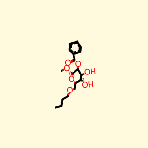 CCCCOCC1O[C@H](OC)C(OC(=O)c2ccccc2)C(O)[C@@H]1O